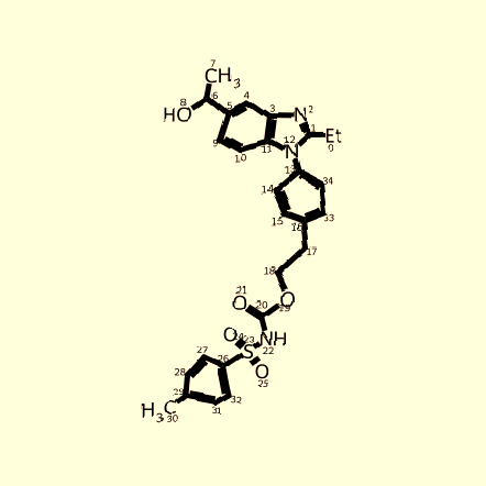 CCc1nc2cc(C(C)O)ccc2n1-c1ccc(CCOC(=O)NS(=O)(=O)c2ccc(C)cc2)cc1